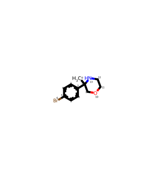 CC1(c2ccc(Br)cc2)COCCN1